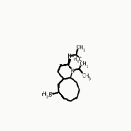 BC1CCCCCC2C(CC/C(=N/C(C)C)N2C(C)C)C1